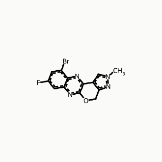 Cn1cc2c(n1)COc1nc3cc(F)cc(Br)c3nc1-2